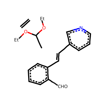 C=C.CCOC(C)OCC.O=Cc1ccccc1/C=C/c1cccnc1